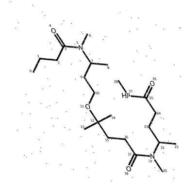 CCCC(=O)N(C)C(C)CCOC(C)(C)CCC(=O)N(C)C(C)CCC(=O)PC